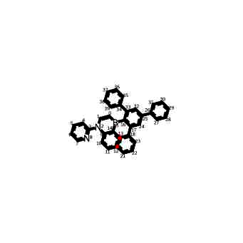 C1=CN(c2ccccn2)c2ccccc2B1c1c(-c2ccccc2)cc(-c2ccccc2)cc1-c1ccccc1